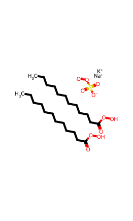 CCCCCCCCCCCC(=O)OO.CCCCCCCCCCCC(=O)OO.O=S(=O)([O-])O[O-].[K+].[Na+]